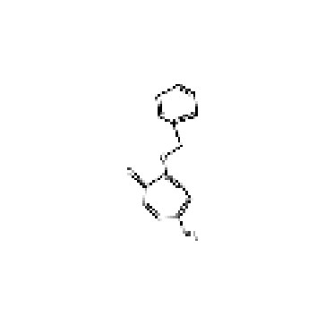 Nc1ccc(OCc2ccccc2)c(=O)cc1